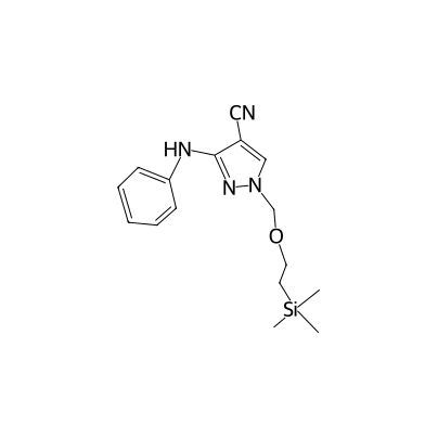 C[Si](C)(C)CCOCn1cc(C#N)c(Nc2ccccc2)n1